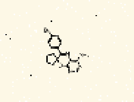 Nc1ncnc2c1N=C(c1ccc(Br)cc1)C1(CCCC1)O2